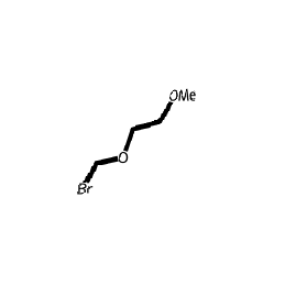 COCCOCBr